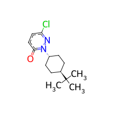 CC(C)(C)[C@H]1CC[C@H](n2nc(Cl)ccc2=O)CC1